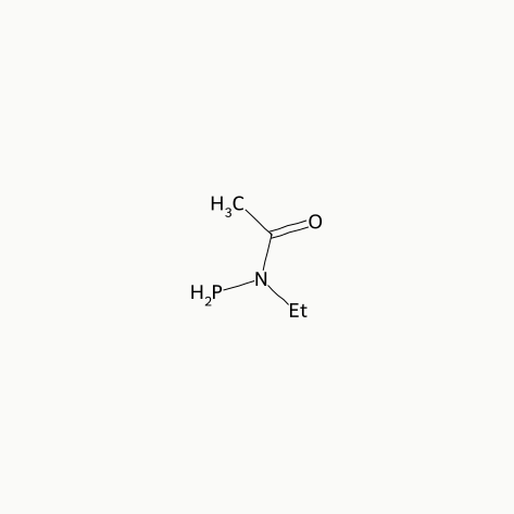 CCN(P)C(C)=O